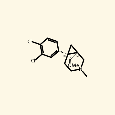 COC[C@]12CN(C)CC[C@@]1(c1ccc(Cl)c(Cl)c1)C2